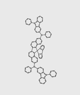 c1ccc(N(c2ccc3c4c(ccc3c2)-c2ccc3cc(N(c5ccccc5)c5ccc6c(c5)c5ccccc5n6-c5ccccc5)ccc3c2C42c3ccccc3-c3ccccc32)c2ccc3c(c2)c2ccccc2n3-c2ccccc2)cc1